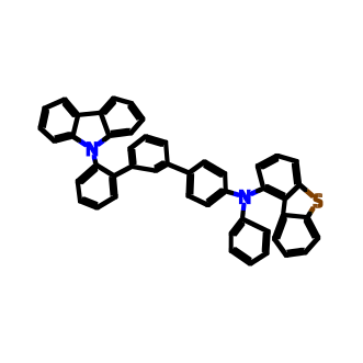 c1ccc(N(c2ccc(-c3cccc(-c4ccccc4-n4c5ccccc5c5ccccc54)c3)cc2)c2cccc3sc4ccccc4c23)cc1